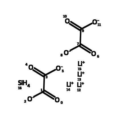 O=C([O-])C(=O)[O-].O=C([O-])C(=O)[O-].[Li+].[Li+].[Li+].[Li+].[SiH4]